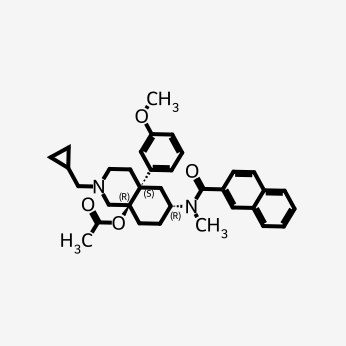 COc1cccc([C@@]23CCN(CC4CC4)C[C@@]2(OC(C)=O)CC[C@@H](N(C)C(=O)c2ccc4ccccc4c2)C3)c1